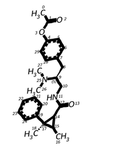 CC(=O)Oc1ccc(C[C@@H](CNC(=O)C2C(C)[C@@]2(C)c2ccccc2)N(C)C)cc1